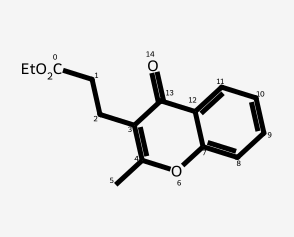 CCOC(=O)CCc1c(C)oc2ccccc2c1=O